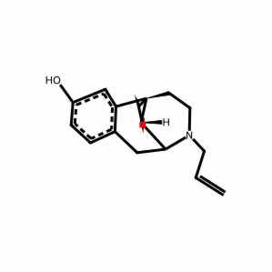 C=CCN1CC[C@]23CCCC[C@H]2C1Cc1ccc(O)cc13